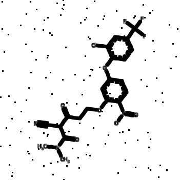 CN(C)C(=O)C(C#N)C(=O)CCOc1cc(Oc2ccc(C(F)(F)F)cc2Cl)ccc1[N+](=O)[O-]